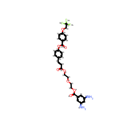 Nc1cc(N)cc(C(=O)OCCOCCOC(=O)/C=C/c2ccc(OC(=O)c3ccc(OCC(F)(F)F)cc3)cc2)c1